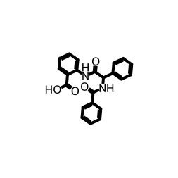 O=C(NC(C(=O)Nc1ccccc1C(=O)O)c1ccccc1)c1ccccc1